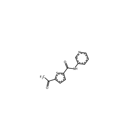 O=C(Nc1cccnc1)c1ccc(C(=O)C(F)(F)F)s1